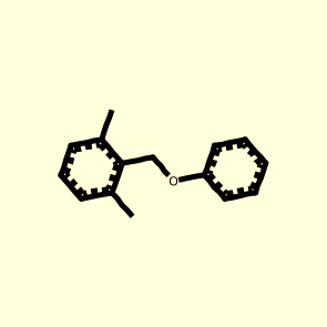 Cc1cccc(C)c1COc1[c]cccc1